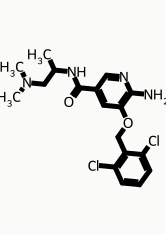 CC(CN(C)C)NC(=O)c1cnc(N)c(OCc2c(Cl)cccc2Cl)c1